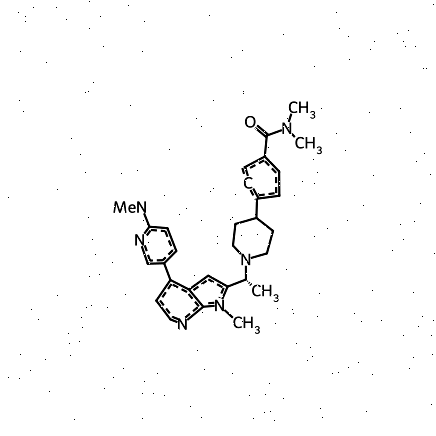 CNc1ccc(-c2ccnc3c2cc([C@@H](C)N2CCC(c4ccc(C(=O)N(C)C)cc4)CC2)n3C)cn1